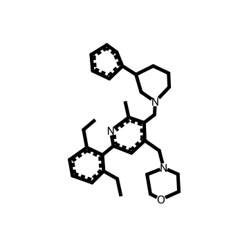 CCc1cccc(CC)c1-c1cc(CN2CCOCC2)c(CN2CCCC(c3ccccc3)C2)c(C)n1